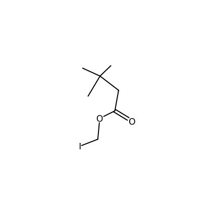 CC(C)(C)CC(=O)OCI